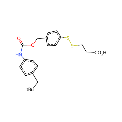 CC(C)(C)Cc1ccc(NC(=O)OCc2ccc(SSCCC(=O)O)cc2)cc1